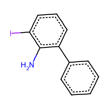 Nc1c(I)cccc1-c1ccccc1